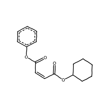 O=C(/C=C\C(=O)OC1CCCCC1)Oc1ccccc1